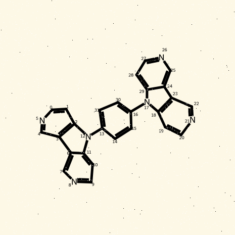 c1cc2c(cn1)c1cnccc1n2-c1ccc(-n2c3ccncc3c3cnccc32)cc1